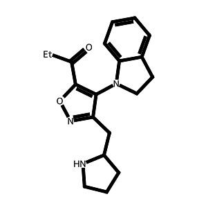 CCC(=O)c1onc(CC2CCCN2)c1N1CCc2ccccc21